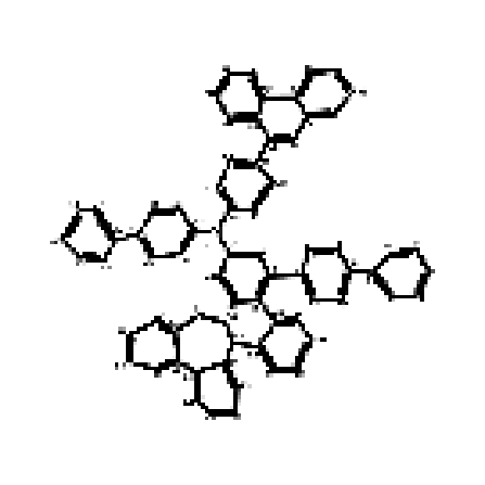 c1ccc(-c2ccc(-c3cc(N(c4ccc(-c5ccccc5)cc4)c4ccc(-c5cc6ccccc6c6ccccc56)cc4)ccc3-c3ccccc3C3CCc4ccccc4-c4ccccc43)cc2)cc1